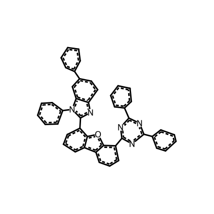 c1ccc(-c2ccc3nc(-c4cccc5c4oc4c(-c6nc(-c7ccccc7)nc(-c7ccccc7)n6)cccc45)n(-c4ccccc4)c3c2)cc1